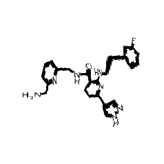 NCc1cccc(CNC(=O)c2ccc(-c3cn[nH]c3)nc2NCCc2cccc(F)c2)n1